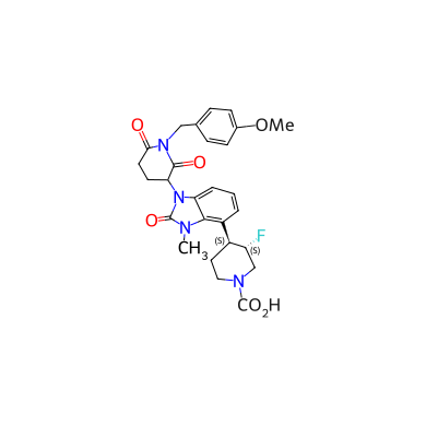 COc1ccc(CN2C(=O)CCC(n3c(=O)n(C)c4c([C@@H]5CCN(C(=O)O)C[C@H]5F)cccc43)C2=O)cc1